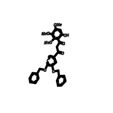 COc1cc(O)c(C(=O)CC(=O)c2ccc(OCc3ccccc3)c(OCc3ccccc3)c2)c(OC)c1OC